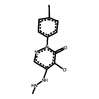 CNNc1cnn(-c2ccc(C)cc2)c(=O)c1Cl